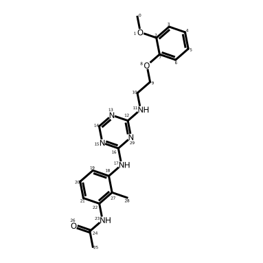 COc1ccccc1OCCNc1ncnc(Nc2cccc(NC(C)=O)c2C)n1